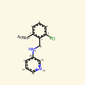 CC(=O)Nc1cccc(Cl)c1CNc1cccnc1